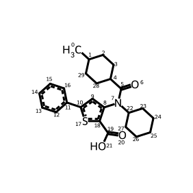 CC1CCC(C(=O)N(c2cc(-c3ccccc3)sc2C(=O)O)C2CCCCC2)CC1